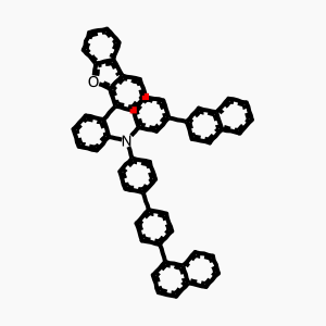 c1cc(-c2ccc3ccccc3c2)cc(N(c2ccc(-c3ccc(-c4cccc5ccccc45)cc3)cc2)c2ccccc2-c2cccc3c2oc2ccccc23)c1